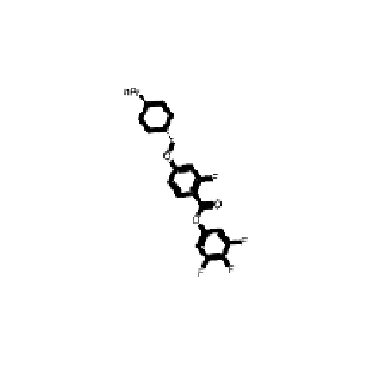 CCC[C@H]1CC[C@H](COc2ccc(C(=O)Oc3cc(F)c(F)c(F)c3)c(F)c2)CC1